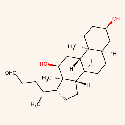 C[C@H](CCC=O)[C@H]1CC[C@H]2[C@@H]3CC[C@@H]4C[C@H](O)CC[C@]4(C)[C@H]3C[C@H](O)[C@]12C